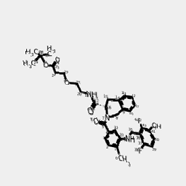 Cc1ccc(C(=O)N2Cc3ccccc3C[C@H]2C(=O)NCCOCCC(=O)OC(C)(C)C)cc1NCc1c(F)ccc(O)c1F